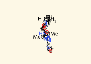 COc1nc(NCCCN2CCOCC2)nc(OC)c1NC(=O)c1ccc(Oc2nccc([Si](C)(C)C)n2)o1